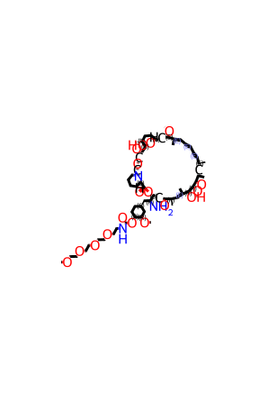 COCCOCCOCCOCCNC(=O)O[C@@H]1CC[C@@H](C[C@@H](N)[C@@H]2CC(=O)[C@H](C)/C=C(\C)[C@@H](O)[C@@H](OC)C(=O)C(C)C[C@H](C)/C=C/C=C/C=C(\C)[C@@H](OC)C[C@@H]3CC[C@@H](C)[C@@](O)(O3)C(=O)COCN3CCCC[C@H]3C(=O)O2)C[C@H]1OC